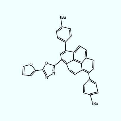 CC(C)(C)c1ccc(-c2ccc3ccc4c(-c5ccc(C(C)(C)C)cc5)cc(-c5nnc(-c6ccco6)o5)c5ccc2c3c45)cc1